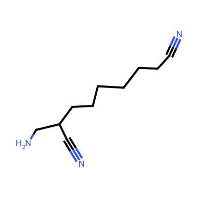 N#CCCCCCCC(C#N)CN